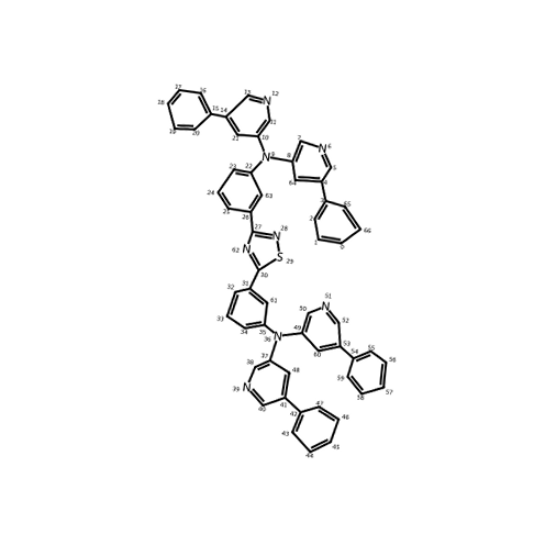 c1ccc(-c2cncc(N(c3cncc(-c4ccccc4)c3)c3cccc(-c4nsc(-c5cccc(N(c6cncc(-c7ccccc7)c6)c6cncc(-c7ccccc7)c6)c5)n4)c3)c2)cc1